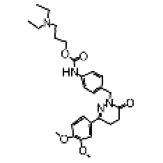 CCN(CC)CCCOC(=O)Nc1ccc(CN2N=C(c3ccc(OC)c(OC)c3)CCC2=O)cc1